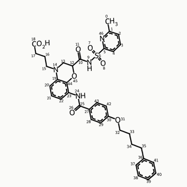 Cc1cccc(S(=O)(=O)NC(=O)C2CN(CCCC(=O)O)c3cccc(NC(=O)c4ccc(OCCCCc5ccccc5)cc4)c3O2)n1